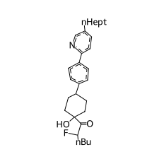 CCCCCCCc1ccc(-c2ccc(C3CCC(O)(C(=O)C(F)CCCC)CC3)cc2)nc1